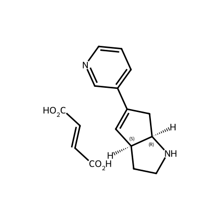 C1=C(c2cccnc2)C[C@H]2NCC[C@@H]12.O=C(O)C=CC(=O)O